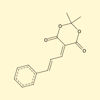 CC1(C)OC(=O)C(=C/C=C/c2ccccc2)C(=O)O1